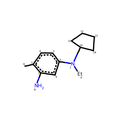 CCN(c1ccc(C)c(N)c1)C1CCCC1